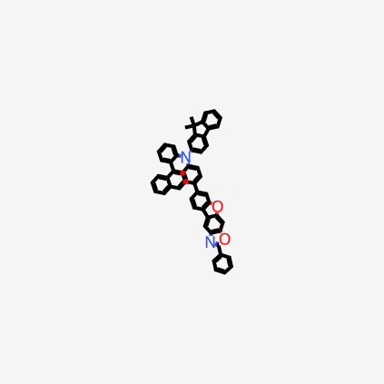 CC1(C)c2ccccc2-c2ccc(N(c3ccc(-c4ccc5c(c4)oc4cc6oc(-c7ccccc7)nc6cc45)cc3)c3ccccc3-c3cccc4ccccc34)cc21